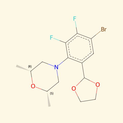 C[C@@H]1CN(c2c(C3OCCO3)cc(Br)c(F)c2F)C[C@H](C)O1